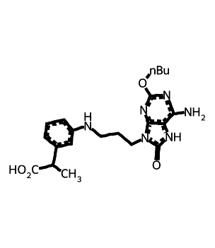 CCCCOc1nc(N)c2[nH]c(=O)n(CCCNc3cccc(C(C)C(=O)O)c3)c2n1